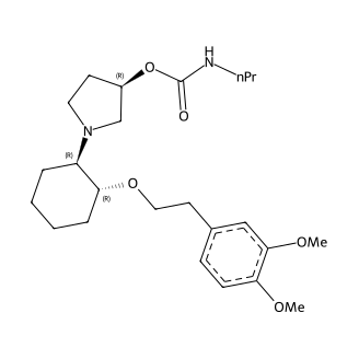 CCCNC(=O)O[C@@H]1CCN([C@@H]2CCCC[C@H]2OCCc2ccc(OC)c(OC)c2)C1